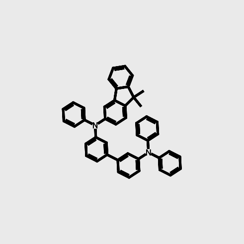 CC1(C)c2ccccc2-c2cc(N(c3ccccc3)c3cccc(-c4cccc(N(c5ccccc5)c5ccccc5)c4)c3)ccc21